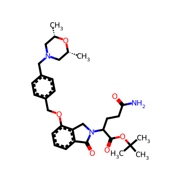 C[C@@H]1CN(Cc2ccc(COc3cccc4c3CN(C(CCC(N)=O)C(=O)OC(C)(C)C)C4=O)cc2)C[C@H](C)O1